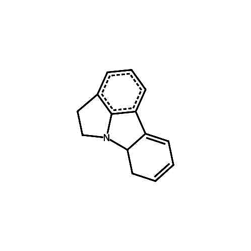 C1=CCC2C(=C1)c1cccc3c1N2CC3